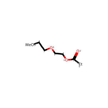 CCC(=O)OCCOCCOC